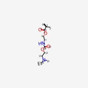 C=C(C)C(=O)OCCNC(=O)OCCN(C)CC